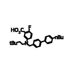 CCCCc1ccc(-c2ccc(CN(CCC(C)(C)C)c3ccc(F)c(C(=O)O)c3)cc2)cc1